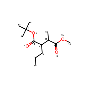 CCCC(C(=O)OC(C)(C)C)C(C)C(=O)OC